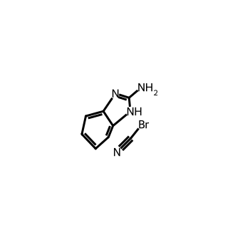 N#CBr.Nc1nc2ccccc2[nH]1